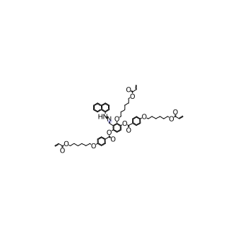 C=CC(=O)OCCCCCCOc1ccc(C(=O)Oc2ccc(OC(=O)c3ccc(OCCCCCCOC(=O)C=C)cc3)c(OCCCCCCOC(=O)C=C)c2/C=N/Nc2cccc3ccccc23)cc1